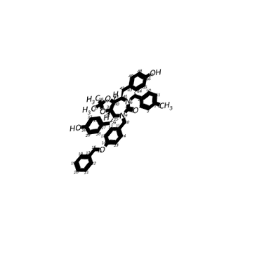 Cc1ccc(CN2C(=O)N(Cc3ccc(OCc4ccccc4)cc3)[C@H](Cc3ccc(O)cc3)[C@@H]3OC(C)(C)O[C@H]3[C@H]2Cc2ccc(O)cc2)cc1